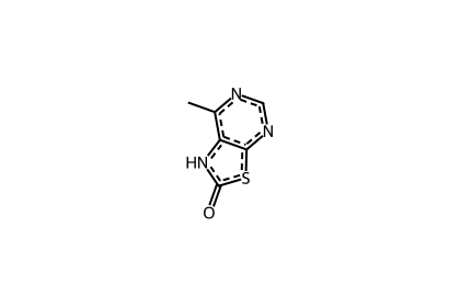 Cc1ncnc2sc(=O)[nH]c12